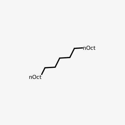 CCCCC[CH]CCCCCCCCCCCCCCC